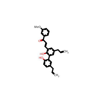 C=CCc1ccc(O)c(-c2cc(CC=C)cc(C=CC(=O)c3cccc(OC)c3)c2O)c1